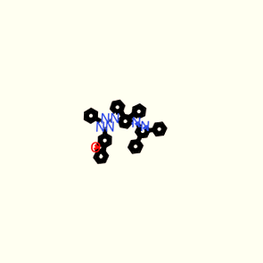 c1ccc(-c2cc(-c3ccccc3)nc(-n3c4ccccc4c4c5c6ccccc6n(-c6nc(-c7ccccc7)nc(-c7ccc8c(c7)oc7ccccc78)n6)c5ccc43)c2)cc1